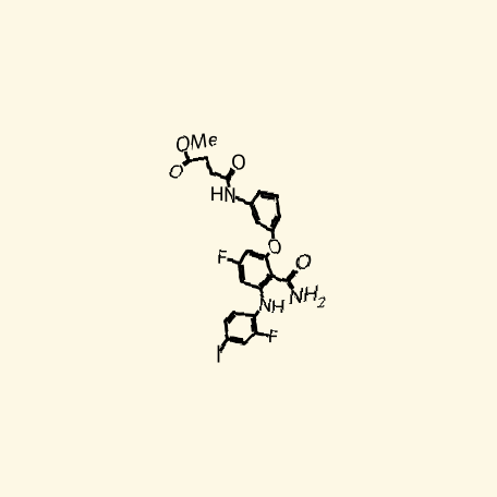 COC(=O)CCC(=O)Nc1cccc(Oc2cc(F)cc(Nc3ccc(I)cc3F)c2C(N)=O)c1